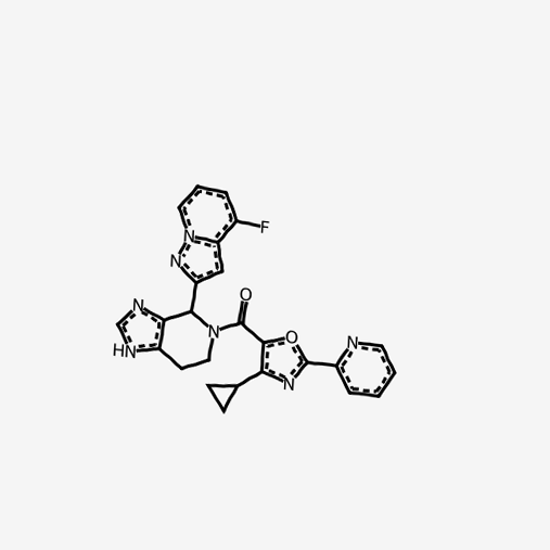 O=C(c1oc(-c2ccccn2)nc1C1CC1)N1CCc2[nH]cnc2C1c1cc2c(F)cccn2n1